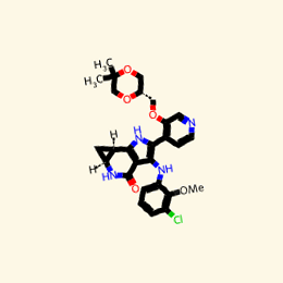 COc1c(Cl)cccc1Nc1c(-c2ccncc2OC[C@H]2COC(C)(C)CO2)[nH]c2c1C(=O)N[C@H]1C[C@@H]21